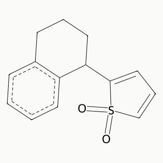 O=S1(=O)C=CC=C1C1CCCc2ccccc21